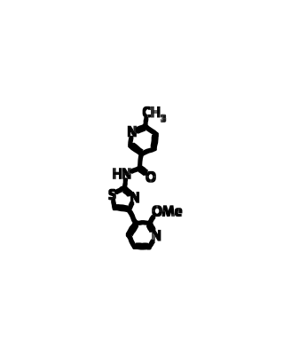 COc1ncccc1-c1csc(NC(=O)c2ccc(C)nc2)n1